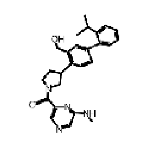 CNc1cncc(C(=O)N2CCC(c3ccc(-c4ccccc4C(C)C)cc3CO)C2)n1